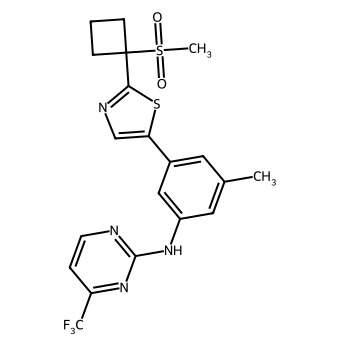 Cc1cc(Nc2nccc(C(F)(F)F)n2)cc(-c2cnc(C3(S(C)(=O)=O)CCC3)s2)c1